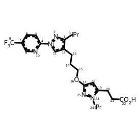 CC(C)c1nn(-c2ccc(C(F)(F)F)cn2)cc1CCCOc1cc(CCC(=O)O)n(C(C)C)n1